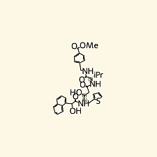 COC(=O)c1ccc(CNC(=O)[C@@H](NC(=O)C[C@H](O)[C@H](Cc2cccs2)NC(=O)C(O)c2cccc3ccccc23)C(C)C)cc1